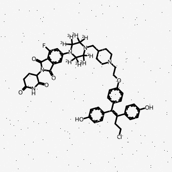 [2H]C1([2H])N(CC2CCN(CCOc3ccc(C(=C(CCCl)c4ccc(O)cc4)c4ccc(O)cc4)cc3)CC2)C([2H])([2H])C([2H])([2H])N(c2cc(F)c3c(c2)C(=O)N(C2CCC(=O)NC2=O)C3=O)C1([2H])[2H]